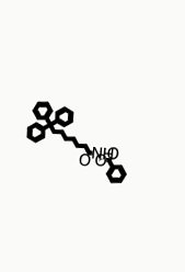 O=C(CCCCCCC(c1ccccc1)(c1ccccc1)c1ccccc1)NOC(=O)c1ccccc1